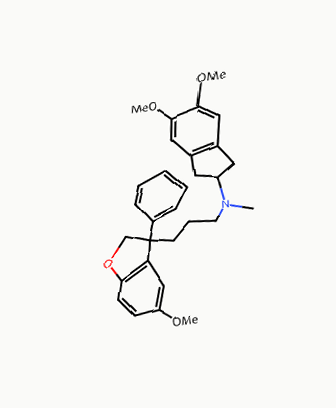 COc1ccc2c(c1)C(CCCN(C)C1Cc3cc(OC)c(OC)cc3C1)(c1ccccc1)CO2